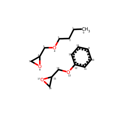 CCCCOCC1CO1.c1ccc(OCC2CO2)cc1